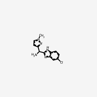 Cn1ccc(C(N)c2nc3cc(Cl)ccc3[nH]2)n1